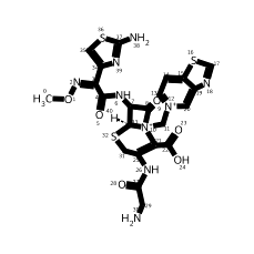 CO/N=C(\C(=O)NC1C(=O)[N+]2(C[n+]3ccc4scnc4c3)C(C(=O)O)=C(NC(=O)CN)CS[C@@H]12)c1csc(N)n1